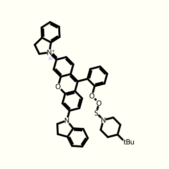 CC(C)(C)C1CCN(SOOc2ccccc2-c2c3cc/c(=[N+]4/CCc5ccccc54)cc-3oc3cc(N4CCc5ccccc54)ccc23)CC1